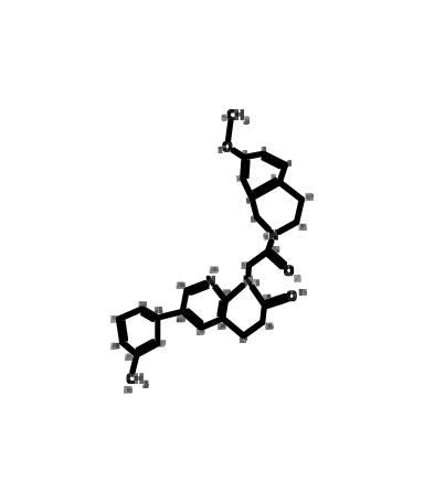 COc1ccc2c(c1)CN(C(=O)CN1C(=O)CCc3cc(-c4cccc(C)c4)cnc31)CC2